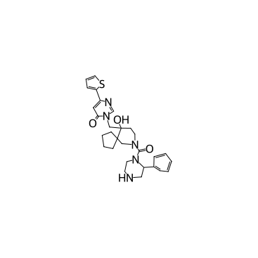 O=C(N1CCC(O)(Cn2cnc(-c3cccs3)cc2=O)C2(CCCC2)C1)N1CCNCC1c1ccccc1